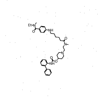 CCN(C)C(=O)c1ccc(NCCCCCC(=O)N(C)CCN2CCC(OC(=O)Nc3ccccc3-c3ccccc3)CC2)cc1